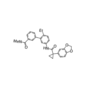 CCc1ccc(NC(=O)C2(c3ccc4c(c3)OCO4)CC2)cc1-c1cccc(C(=O)NC)c1